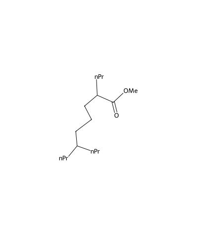 CCCC(CCC)CCCC(CCC)C(=O)OC